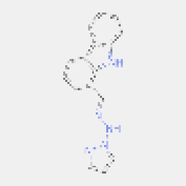 C(=NNn1cccn1)c1cccc2c1[nH]c1ccccc12